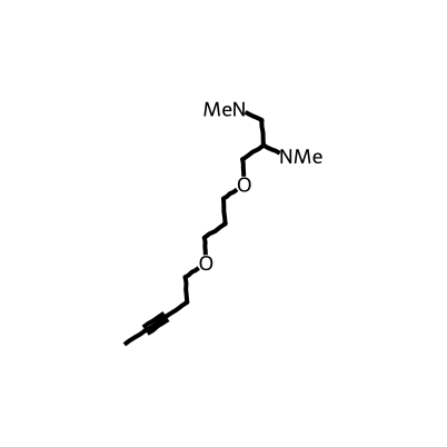 CC#CCCOCCCOCC(CNC)NC